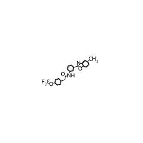 Cc1ccc2oc(-c3cccc(NC(=O)Cc4ccc(OC(F)(F)F)cc4)c3)nc2c1